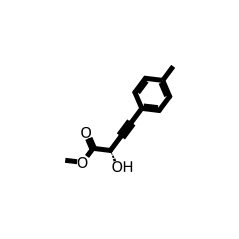 COC(=O)[C@@H](O)C#Cc1ccc(C)cc1